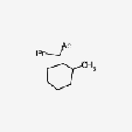 CC(=O)CC(C)C.CC1CCCCC1